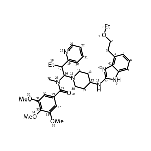 CCOCCc1cccc2[nH]c(NC3CCN(C(C(CC)c4ccccn4)N(C)C(=O)c4cc(OC)c(OC)c(OC)c4)CC3)nc12